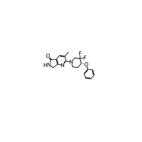 Cc1cc2c(nc1N1CC[C@@H](Oc3ccccc3)C(F)(F)C1)CNC2=O